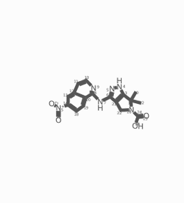 CC1(C)c2[nH]nc(Nc3nccc4cc([N+](=O)[O-])ccc34)c2CN1C(=O)O